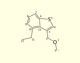 [CH2]OCc1csc2cccc(CC)c12